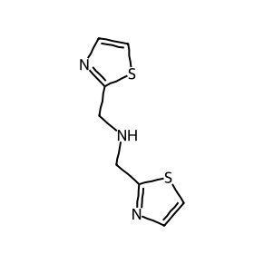 c1csc(CNCc2nccs2)n1